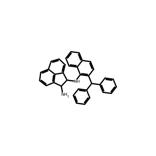 NC1c2cccc3cccc(c23)C1Nc1c(C(c2ccccc2)c2ccccc2)ccc2ccccc12